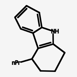 CCCC1CCCc2[nH]c3ccccc3c21